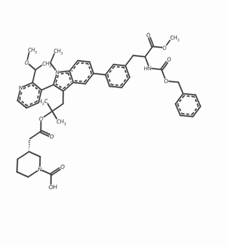 CCn1c(-c2cccnc2C(C)OC)c(CC(C)(C)OC(=O)C[C@H]2CCCN(C(=O)O)C2)c2cc(-c3cccc(CC(NC(=O)OCc4ccccc4)C(=O)OC)c3)ccc21